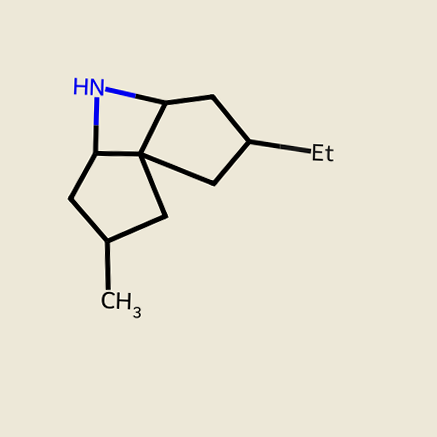 CCC1CC2NC3CC(C)CC32C1